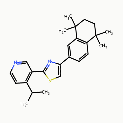 CC(C)c1ccncc1-c1nc(-c2ccc3c(c2)C(C)(C)CCC3(C)C)cs1